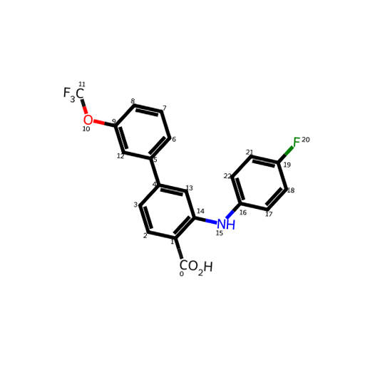 O=C(O)c1ccc(-c2cccc(OC(F)(F)F)c2)cc1Nc1ccc(F)cc1